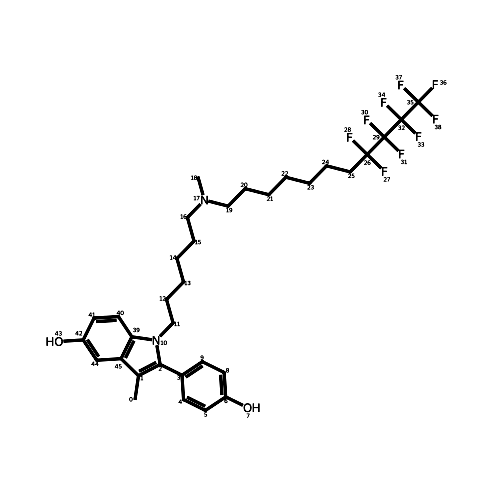 Cc1c(-c2ccc(O)cc2)n(CCCCCCN(C)CCCCCCCC(F)(F)C(F)(F)C(F)(F)C(F)(F)F)c2ccc(O)cc12